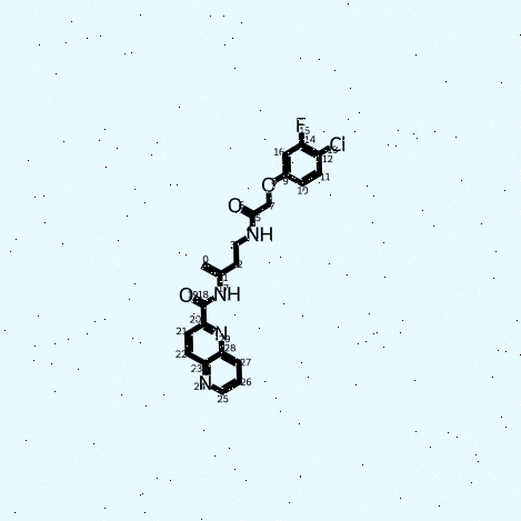 C=C(CCNC(=O)COc1ccc(Cl)c(F)c1)NC(=O)c1ccc2ncccc2n1